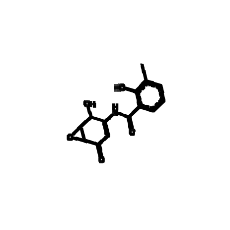 Cc1cccc(C(=O)NC2=CC(=O)C3OC3C2O)c1O